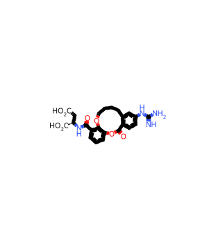 N=C(N)Nc1ccc2c(c1)CCCCOc1c(cccc1C(=O)N[C@@H](CC(=O)O)C(=O)O)OC2=O